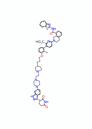 Cc1c(OCCCC2CCN(CCN3CCN(c4ccc5c(C6CCC(=O)NC6=O)nn(C)c5c4)CC3)CC2)cccc1-c1ccc(N2CCc3cccc(C(=O)Nc4nc5ccccc5s4)c3C2)nc1C(=O)O